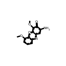 COc1c2oc3c(OC)cccc3nc-2cc(N)c1=O